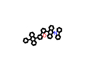 c1ccc(-c2c3ccccc3c(-c3ccc4oc5c(-c6c7ccccc7c(-n7c8ccccc8c8ccccc87)c7ccccc67)cccc5c4c3)c3ccccc23)cc1